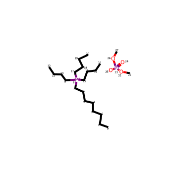 CCCCCCCC[P+](CCCC)(CCCC)CCCC.COP(=O)([O-])OC